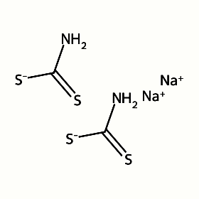 NC(=S)[S-].NC(=S)[S-].[Na+].[Na+]